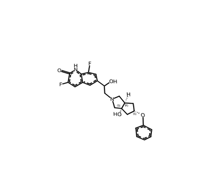 O=c1[nH]c2c(F)cc(C(O)CN3C[C@H]4C[C@H](Oc5ccccc5)C[C@@]4(O)C3)cc2cc1F